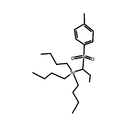 CCC[CH2][Sn]([CH2]CCC)([CH2]CCC)[CH](CC)S(=O)(=O)c1ccc(C)cc1